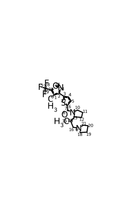 Cc1c(-c2ccc(C(=O)N3CCCC3[C@@H](C)CN3CCCC3)s2)noc1C(F)(F)F